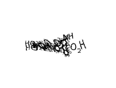 N=c1ccc2c(-c3ccccc3C(=O)O)c3ccc(NC(=O)c4ccc(B(O)O)cc4)cc3oc-2c1